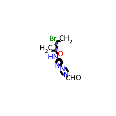 C=C/C(Br)=C\C=C(/C=C)C(=O)Nc1ccc(N2CCN(C=O)CC2)nc1